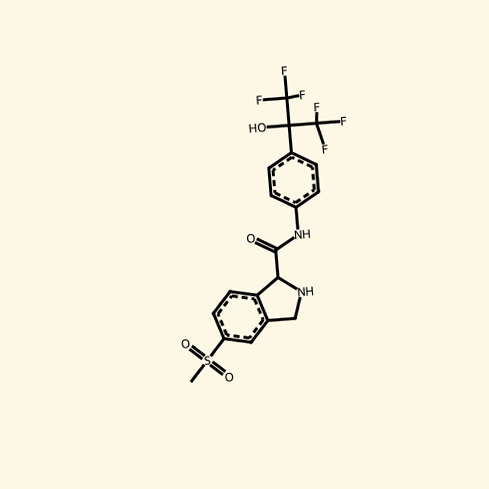 CS(=O)(=O)c1ccc2c(c1)CNC2C(=O)Nc1ccc(C(O)(C(F)(F)F)C(F)(F)F)cc1